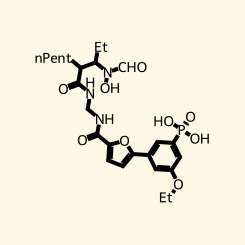 CCCCCC(C(=O)NCNC(=O)c1ccc(-c2cc(OCC)cc(P(=O)(O)O)c2)o1)C(CC)N(O)C=O